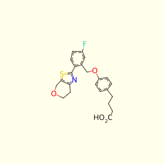 O=C(O)CCCc1ccc(OCc2cc(F)ccc2-c2nc3c(s2)COCC3)cc1